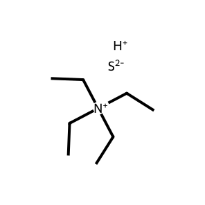 CC[N+](CC)(CC)CC.[H+].[S-2]